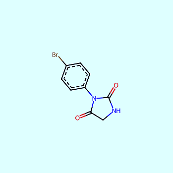 O=C1CNC(=O)N1c1ccc(Br)cc1